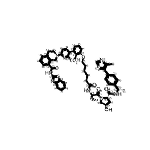 Cc1ncsc1-c1ccc([C@H](C)NC(=O)[C@@H]2C[C@@H](O)CN2C(=O)C(NC(=O)CCCCCOc2cccc(-c3ccc(N4CCc5cccc(C(=O)Nc6nc7ccccc7s6)c5C4)nc3C(=O)O)c2C)C(C)(C)C)cc1